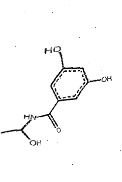 CC(O)NC(=O)c1cc(O)cc(O)c1